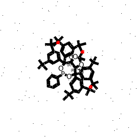 CC1(C)O[C@@H]2[C@@H](O1)C(c1cc(C(C)(C)C)cc(C(C)(C)C)c1)(c1cc(C(C)(C)C)cc(C(C)(C)C)c1)OP(c1ccccc1)OC2(c1cc(C(C)(C)C)cc(C(C)(C)C)c1)c1cc(C(C)(C)C)cc(C(C)(C)C)c1